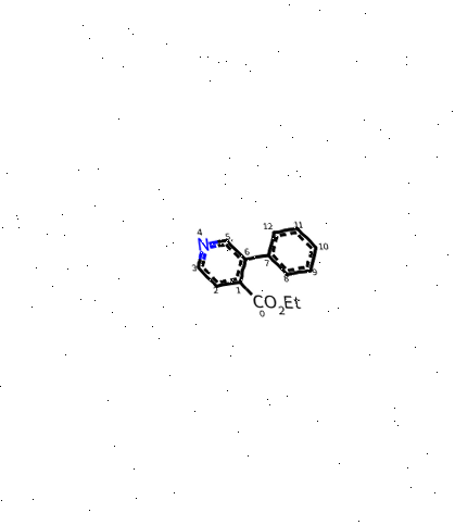 CCOC(=O)c1ccn[c]c1-c1ccccc1